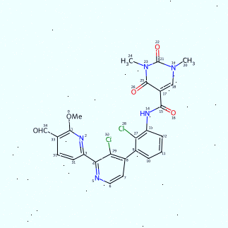 COc1nc(-c2nccc(-c3cccc(NC(=O)c4cn(C)c(=O)n(C)c4=O)c3Cl)c2Cl)ccc1C=O